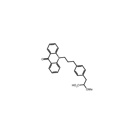 COC(Cc1ccc(CCCn2c3ccccc3c(=O)c3ccccc32)cc1)C(=O)O